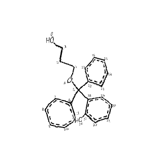 OCCCOC(c1ccccc1)(c1ccccc1)c1ccccc1O